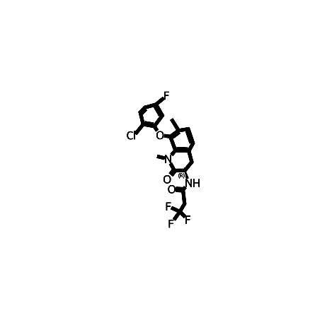 Cc1ccc2c(c1Oc1cc(F)ccc1Cl)N(C)C(=O)[C@H](NC(=O)CC(F)(F)F)C2